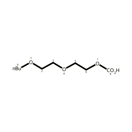 CCCCOCCOCCOC(=O)O